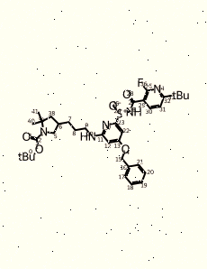 CC(C)(C)OC(=O)N1CC(CCCNc2cc(OCc3ccccc3)cc([S+]([O-])NC(=O)c3ccc(C(C)(C)C)nc3F)n2)CC1(C)C